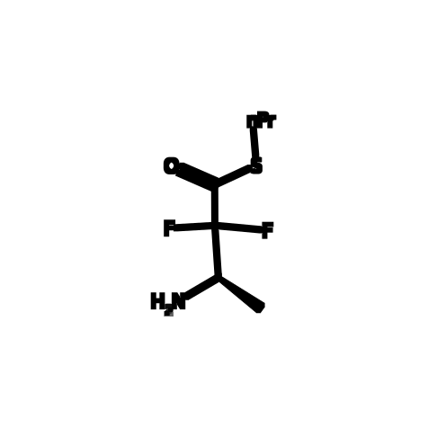 CCCSC(=O)C(F)(F)[C@@H](C)N